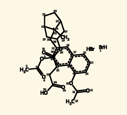 Br.Br.CC(=O)Oc1cc2c(OC(C)=O)cccc2cc1C[N+]1(C)C2CCC1CC(OC(=O)CCC(=O)O)C2